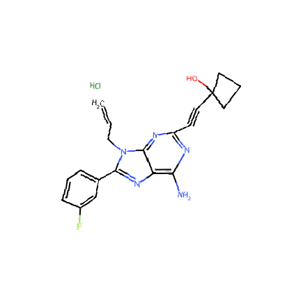 C=CCn1c(-c2cccc(F)c2)nc2c(N)nc(C#CC3(O)CCC3)nc21.Cl